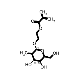 C=C(C)C(=O)OCCO[C@@H]1OC(CO)[C@@H](O)[C@H](O)C1C